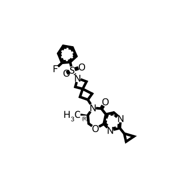 C[C@@H]1COc2nc(C3CC3)ncc2C(=O)N1C1CC2(C1)CN(S(=O)(=O)c1ccccc1F)C2